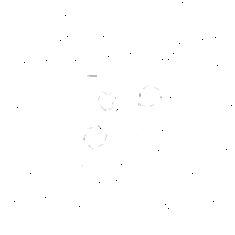 Cc1ccc(-c2cc(C(=O)O)n(Cc3ccccc3)n2)c(C)c1